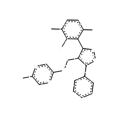 Cc1ccc(Cl)c(-c2noc(-c3ccccc3)c2COc2cnc(Br)cn2)c1Cl